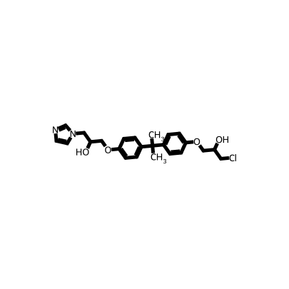 CC(C)(c1ccc(OCC(O)CCl)cc1)c1ccc(OCC(O)Cn2ccnc2)cc1